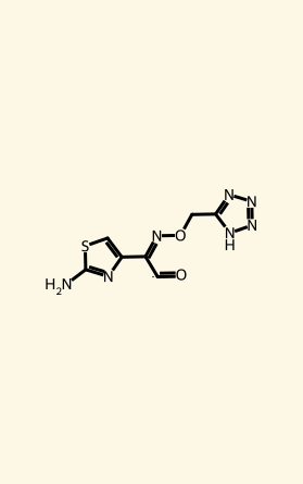 Nc1nc(C([C]=O)=NOCc2nnn[nH]2)cs1